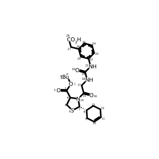 CC(C)(C)OC(=O)C1CSC([C@H]2CC=CCC2)N1C(=O)CNC(=O)Nc1cccc(CC(=O)O)c1